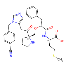 CSCC[C@@H](NC(=O)C(Cc1ccccc1)OC[C@]1(C(=O)Cc2cncn2Cc2ccc(C#N)cc2)CCCN1)C(=O)O